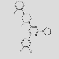 C[C@@H]1CN(c2ccccc2F)CCN1c1cc(-c2ccc(F)c(Cl)c2)nc(N2CCCC2)n1